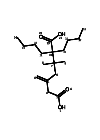 C=C(CC(=O)O)CC(C)(C)C(CCCC)(CCCC)C(=O)O